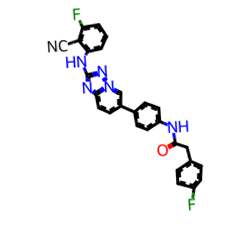 N#Cc1c(F)cccc1Nc1nc2ccc(-c3ccc(NC(=O)Cc4ccc(F)cc4)cc3)cn2n1